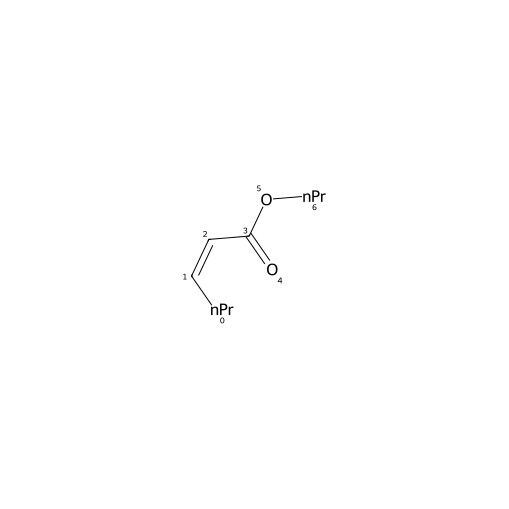 CCC/C=C\C(=O)OCCC